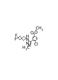 CCOC(=O)c1ccc(Cl)c(-c2cn(C)nc2NC2CC3(C2)CC(F)(F)C3)c1